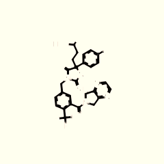 CC(C)CCC1(c2ccc(F)cc2)NC(=N)N(Cc2ccc(C(F)(F)F)c(C(=O)N3Cc4nccnc4C3)c2)C1=O